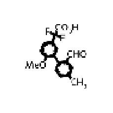 COc1ccc(C(F)(F)C(=O)O)cc1-c1ccc(C)cc1C=O